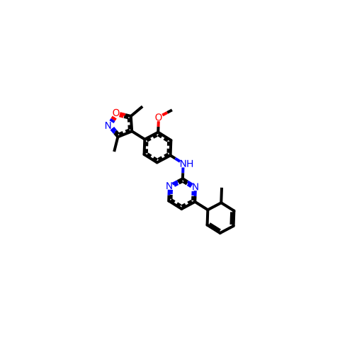 COc1cc(Nc2nccc(C3C=CC=CC3C)n2)ccc1-c1c(C)noc1C